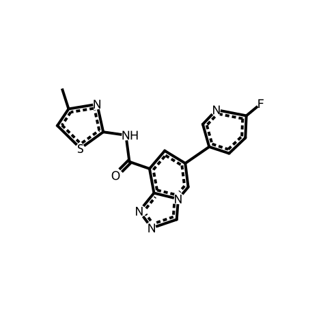 Cc1csc(NC(=O)c2cc(-c3ccc(F)nc3)cn3cnnc23)n1